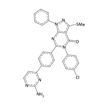 CSc1nn(-c2ccccc2)c2nc(-c3ccc(-c4ccnc(N)n4)cc3)n(-c3ccc(Cl)cc3)c(=O)c12